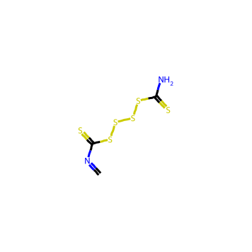 C=NC(=S)SSSSC(N)=S